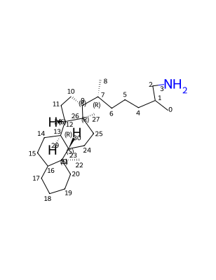 CC(CN)CCC[C@@H](C)[C@H]1CC[C@H]2[C@@H]3CCC4CCCC[C@]4(C)[C@H]3CC[C@]12C